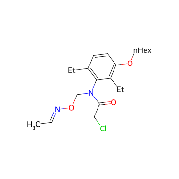 C/C=N/OCN(C(=O)CCl)c1c(CC)ccc(OCCCCCC)c1CC